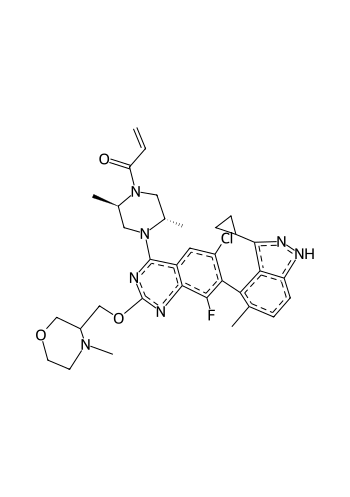 C=CC(=O)N1C[C@H](C)N(c2nc(OCC3COCCN3C)nc3c(F)c(-c4c(C)ccc5[nH]nc(C6CC6)c45)c(Cl)cc23)C[C@H]1C